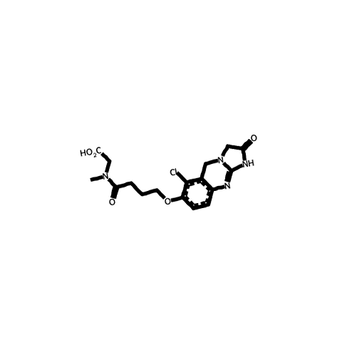 CN(CC(=O)O)C(=O)CCCOc1ccc2c(c1Cl)CN1CC(=O)NC1=N2